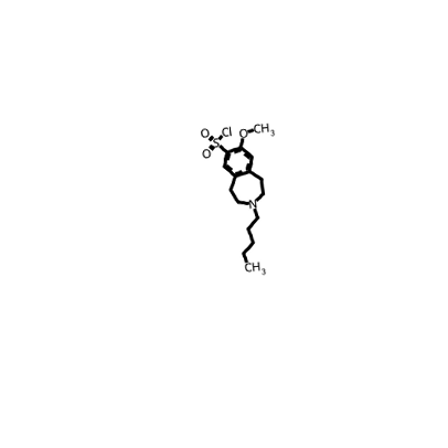 CCCCCN1CCc2cc(OC)c(S(=O)(=O)Cl)cc2CC1